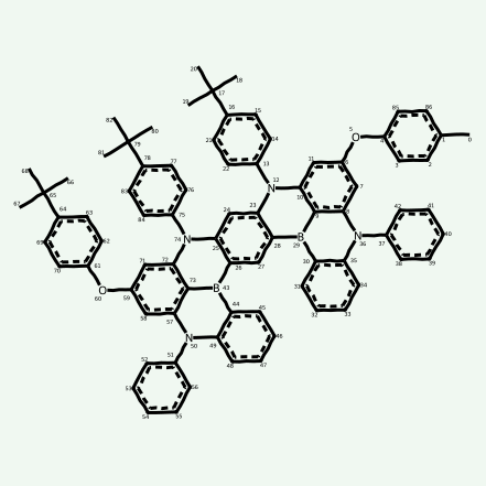 Cc1ccc(Oc2cc3c4c(c2)N(c2ccc(C(C)(C)C)cc2)c2cc5c(cc2B4c2ccccc2N3c2ccccc2)B2c3ccccc3N(c3ccccc3)c3cc(Oc4ccc(C(C)(C)C)cc4)cc(c32)N5c2ccc(C(C)(C)C)cc2)cc1